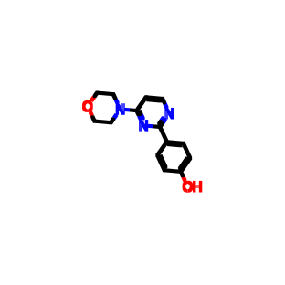 Oc1ccc(-c2nccc(N3CCOCC3)n2)cc1